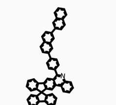 c1ccc2c(c1)-c1ccccc1C21c2ccccc2-c2cc3c(-c4ccc(-c5ccc6ccc(-c7ccc8ccccc8c7)cc6c5)cc4)nc4ccccc4c3cc21